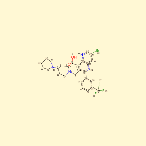 O=C(O)c1c(CN2CCC(N3CCCCC3)CC2)c(-c2cccc(C(F)(F)F)c2)nc2cc(Br)cnc12